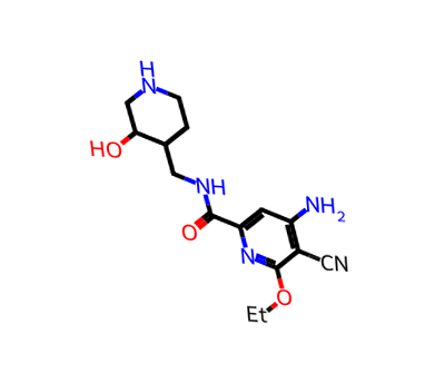 CCOc1nc(C(=O)NCC2CCNCC2O)cc(N)c1C#N